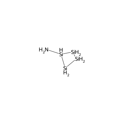 N[SiH]1[SiH2][SiH2][SiH2]1